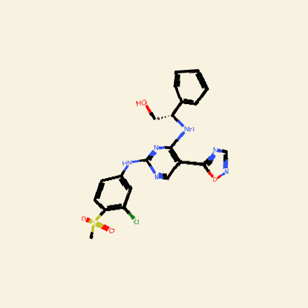 CS(=O)(=O)c1ccc(Nc2ncc(-c3ncno3)c(N[C@H](CO)c3ccccc3)n2)cc1Cl